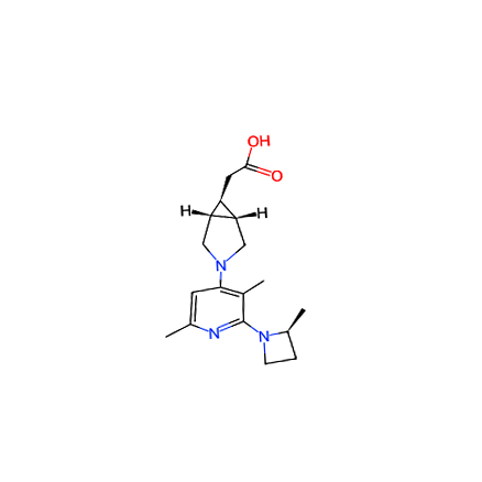 Cc1cc(N2C[C@@H]3[C@@H](CC(=O)O)[C@@H]3C2)c(C)c(N2CC[C@@H]2C)n1